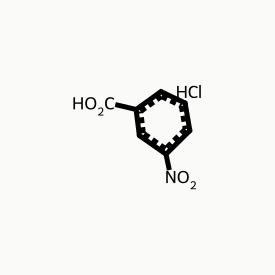 Cl.O=C(O)c1cccc([N+](=O)[O-])c1